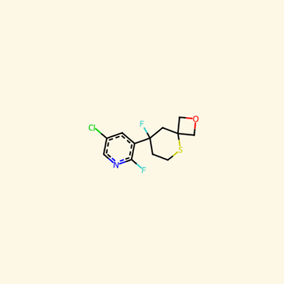 Fc1ncc(Cl)cc1C1(F)CCSC2(COC2)C1